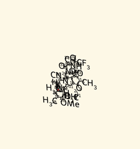 C=CCOc1c(C)c2c(c3c1CC1[C@@H]4c5c(cc(C)c(OC)c5O)C[C@H](C(C#N)N1[C@H]3CNC(=O)[C@H](C)NC(=O)C(F)(F)F)N4C)OCO2